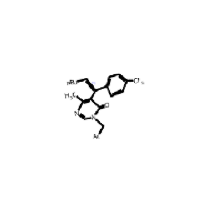 CCCC/C=C(/c1ccc(C(F)(F)F)cc1)c1c(C)ncn(CC(C)=O)c1=O